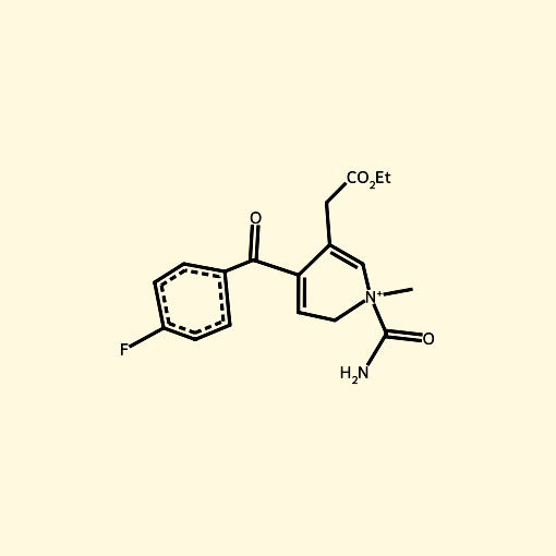 CCOC(=O)CC1=C[N+](C)(C(N)=O)CC=C1C(=O)c1ccc(F)cc1